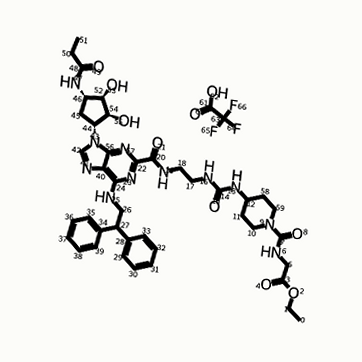 CCOC(=O)CNC(=O)N1CCC(NC(=O)NCCNC(=O)c2nc(NCC(c3ccccc3)c3ccccc3)c3ncn([C@@H]4C[C@H](NC(=O)CC)[C@@H](O)[C@H]4O)c3n2)CC1.O=C(O)C(F)(F)F